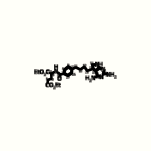 CCOC(=O)CC[C@H](NC(=O)c1ccc(CCCCc2c[nH]c3nc(N)nc(N)c23)cc1)C(=O)OCC